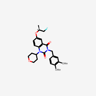 COc1ccc(Cn2c(=O)c3cc(O[C@@H](C)CF)ccc3n(C3CCOCC3)c2=O)cc1OC